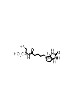 O=C(CCCC[C@@H]1SC[C@@H]2NC(=O)N[C@@H]21)N[C@@H](CS)C(=O)O